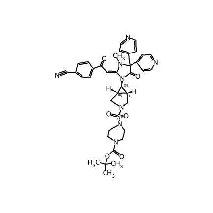 CN1C(=CC(=O)c2ccc(C#N)cc2)N([C@H]2[C@@H]3CN(S(=O)(=O)N4CCN(C(=O)OC(C)(C)C)CC4)C[C@@H]32)C(=O)C1(c1ccncc1)c1ccncc1